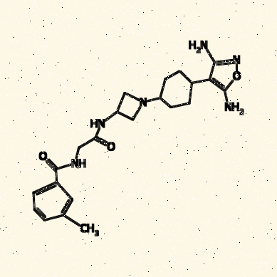 Cc1cccc(C(=O)NCC(=O)NC2CN(C3CCC(c4c(N)noc4N)CC3)C2)c1